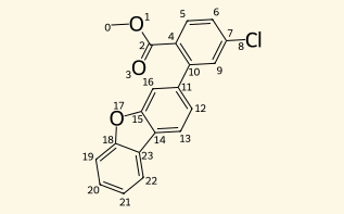 COC(=O)c1ccc(Cl)cc1-c1ccc2c(c1)oc1ccccc12